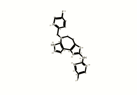 Fc1ccc(CN2CCc3sc(Nc4ncc(F)cn4)nc3-c3cn[nH]c32)nc1